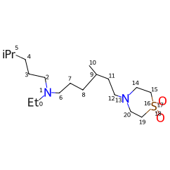 CCN(CCCC(C)C)CCCC(C)CCN1CCS(=O)(=O)CC1